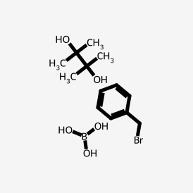 BrCc1ccccc1.CC(C)(O)C(C)(C)O.OB(O)O